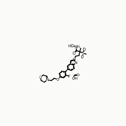 CC(CCn1cc2cc(-c3ccc(OCCN4CCOCC4)cc3F)ccc2n1)(C(=O)NO)S(C)(=O)=O.O=CO